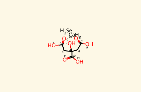 O=C(O)CC(O)(CC(=O)O)C(=O)O.[CaH2].[SeH2]